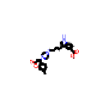 COC(=O)c1ccc2[nH]cc(CCCCN3CCN(c4cc(=O)oc5cc(C)ccc45)CC3)c2c1